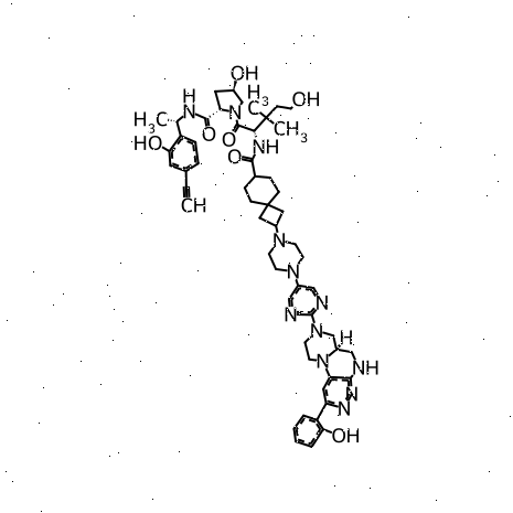 C#Cc1ccc([C@H](C)NC(=O)[C@@H]2C[C@@H](O)CN2C(=O)[C@@H](NC(=O)C2CCC3(CC2)CC(N2CCN(c4cnc(N5CCN6c7cc(-c8ccccc8O)nnc7NC[C@H]6C5)nc4)CC2)C3)C(C)(C)CCO)c(O)c1